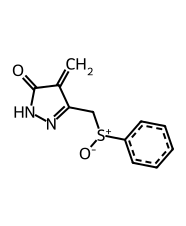 C=C1C(=O)NN=C1C[S+]([O-])c1ccccc1